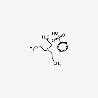 CCCN(CCC)CCC.O=S(=O)(O)c1ccccc1